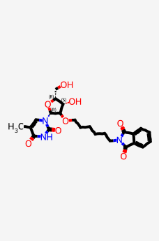 Cc1cn([C@@H]2O[C@H](CO)[C@H](O)C2OCCCCCCN2C(=O)c3ccccc3C2=O)c(=O)[nH]c1=O